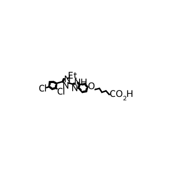 CCn1cc(-c2ccc(Cl)cc2Cl)nc1-c1nc2ccc(OCCCCCC(=O)O)cc2[nH]1